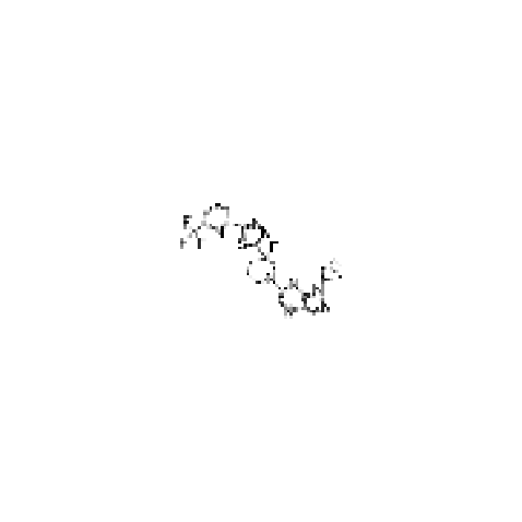 FC(F)(F)c1cccc(-c2nnc(C3(F)CCCN(c4cnc5cnn(C6COC6)c5n4)C3)s2)n1